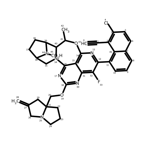 C#Cc1c(Cl)ccc2cccc(-c3nc4c5c(nc(OCC67CCCN6CC(=C)C7)nc5c3F)N3CC5CCC(C3C(C)O4)N5C(=O)O)c12